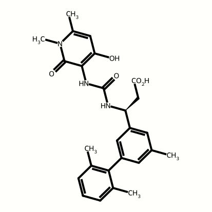 Cc1cc(-c2c(C)cccc2C)cc([C@H](CC(=O)O)NC(=O)Nc2c(O)cc(C)n(C)c2=O)c1